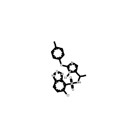 CCn1c(C(C)NS(=O)(=O)c2c(Cl)ccc3nonc23)cnc1Oc1ccc(C)cc1